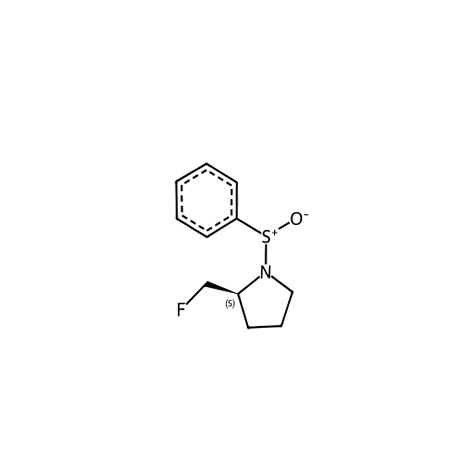 [O-][S+](c1ccccc1)N1CCC[C@H]1CF